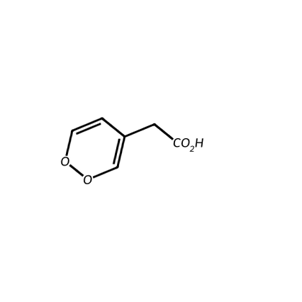 O=C(O)CC1=COOC=C1